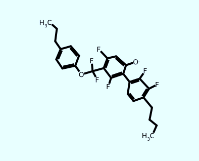 CCCCc1ccc(-c2c([O])cc(F)c(C(F)(F)Oc3ccc(CCC)cc3)c2F)c(F)c1F